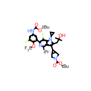 CC(C)c1nc(-c2cc(NC(=O)OC(C)(C)C)cc(F)c2OC(F)(F)F)c(F)c2c1c(C1C3CN(C(=O)OC(C)(C)C)CC31)c(CC(C)(C)O)n2C1CC1